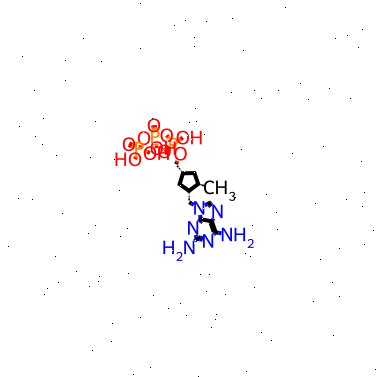 C[C@H]1C[C@@H](COP(=O)(O)OP(=O)(O)OP(=O)(O)O)C[C@H]1Cn1cnc2c(N)nc(N)nc21